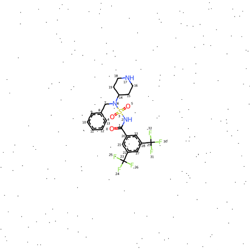 O=C(NS(=O)(=O)N(Cc1ccccc1)C1CCNCC1)c1cc(C(F)(F)F)cc(C(F)(F)F)c1